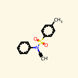 C#CN(c1ccccc1)S(=O)(=O)c1ccc(C)cc1